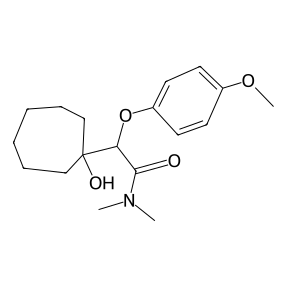 COc1ccc(OC(C(=O)N(C)C)C2(O)CCCCCC2)cc1